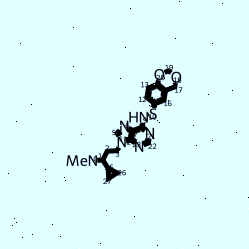 CNC(CCn1cnc2c(NSc3ccc4c(c3)COCO4)ncnc21)C1CC1